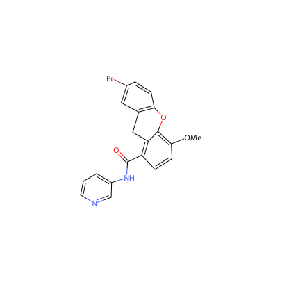 COc1ccc(C(=O)Nc2cccnc2)c2c1Oc1ccc(Br)cc1C2